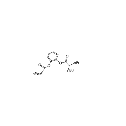 CCCCCC(=O)Oc1ccccc1OC(=O)C(CCC)CCCC